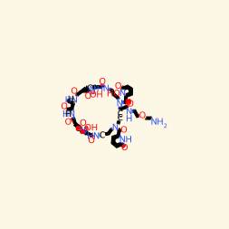 NCCOCCNC(=O)C1CCCN(C(=O)c2cccc(=O)[nH]2)CCCNC(=O)c2ccc(c(=O)n2O)C(=O)N[C@@H]2COC[C@@H]2NC(=O)c2ccc(n(O)c2=O)C(=O)NCCCN1C(=O)c1cccc(=O)n1O